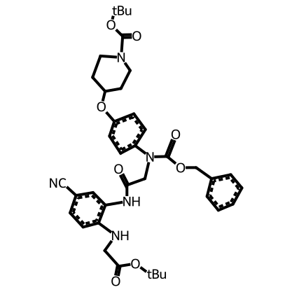 CC(C)(C)OC(=O)CNc1ccc(C#N)cc1NC(=O)CN(C(=O)OCc1ccccc1)c1ccc(OC2CCN(C(=O)OC(C)(C)C)CC2)cc1